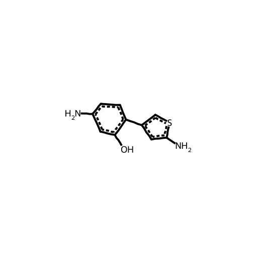 Nc1ccc(-c2csc(N)c2)c(O)c1